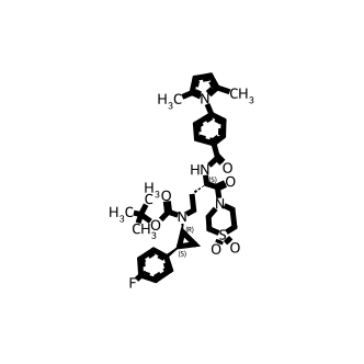 Cc1ccc(C)n1-c1ccc(C(=O)N[C@@H](CCN(C(=O)OC(C)(C)C)[C@@H]2C[C@H]2c2ccc(F)cc2)C(=O)N2CCS(=O)(=O)CC2)cc1